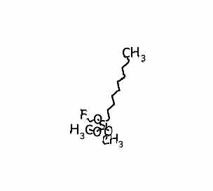 CCCCCCCCCC[Si](OC)(OC)OCF